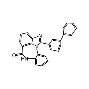 O=C1Nc2ccccc2-n2c(-c3cccc(-c4ccccc4)c3)nc3cccc1c32